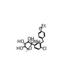 CCOc1ccc(Cc2cc([C@]3(OC)O[C@H](C)[C@@H](O)[C@H](O)[C@H]3O)ccc2Cl)cc1